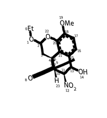 CCOC1C[C@]23C=CC(=O)C[C@H]2[C@H]([N+](=O)[O-])C(O)c2ccc(OC)c(c23)O1